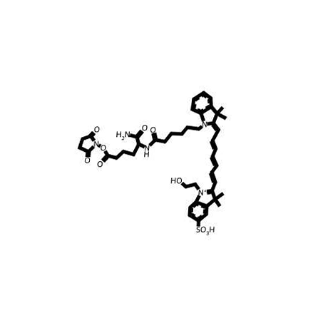 CC1(C)C(/C=C/C=C/C=C/C=C2\N(CCCCCC(=O)NC(CCCC(=O)ON3C(=O)CCC3=O)C(N)=O)c3ccccc3C2(C)C)=[N+](CCO)c2ccc(S(=O)(=O)O)cc21